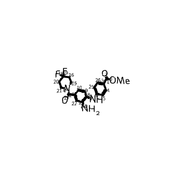 COC(=O)c1ccc(Nc2ccc(C(=O)N3CCC(F)(F)CC3)cc2N)cc1